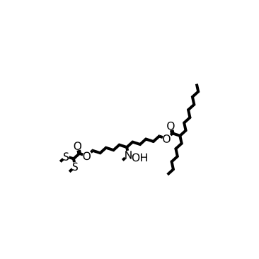 CCCCCCCCC(CCCCCC)C(=O)OCCCCCC(CCCCCOC(=O)C(SC)SC)N(C)O